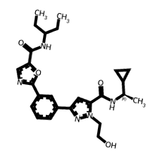 CCC(CC)NC(=O)c1cnc(-c2cccc(-c3cc(C(=O)N[C@H](C)C4CC4)n(CCO)n3)c2)o1